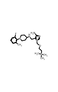 Cc1cccc(F)c1N1CCC(NCc2c(N)ncn2COCC[Si](C)(C)C)CC1